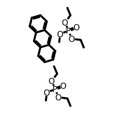 CCOP(=O)(OC)OCC.CCOP(=O)(OC)OCC.c1ccc2cc3ccccc3cc2c1